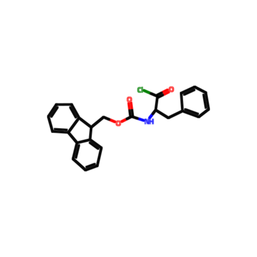 O=C(NC(Cc1ccccc1)C(=O)Cl)OCC1c2ccccc2-c2ccccc21